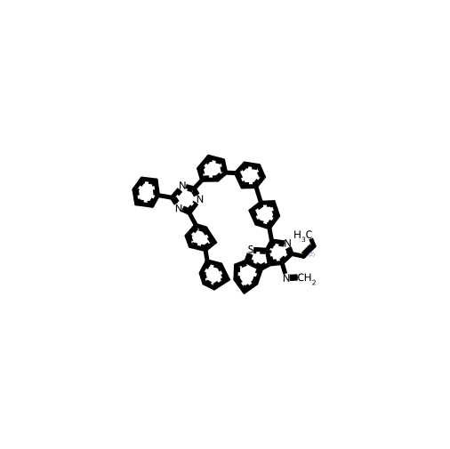 C=Nc1c(/C=C\C)nc(-c2ccc(-c3cccc(-c4cccc(-c5nc(-c6ccccc6)nc(-c6ccc(-c7ccccc7)cc6)n5)c4)c3)cc2)c2sc3ccccc3c12